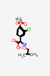 CC(C)CON=C(C(=O)O)c1ccc(S(C)(=O)=O)c(Cl)c1